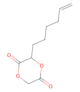 C=CCCCCC1OC(=O)COC1=O